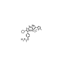 Cc1ccc(-c2cnc(N(C)c3nc(-c4ccc(OC(C)P)cc4)c(C4CCCC4)s3)c(C(=O)O)c2)s1